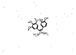 COc1ccc(/C=C\c2cc(OC)c(OC)c(OC)c2)cc1O.[SiH3]O[SiH3]